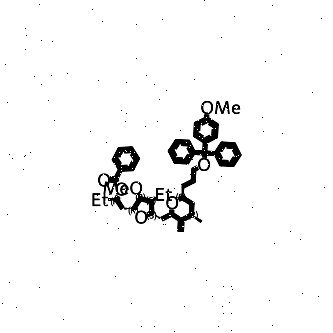 C=C1C(C[C@@H]2O[C@H](C[C@@H](CC)OC(=O)c3ccccc3)[C@H](OC)[C@H]2CC)O[C@@H](CCCOC(c2ccccc2)(c2ccccc2)c2ccc(OC)cc2)C[C@H]1C